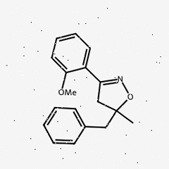 COc1ccccc1C1=NOC(C)(Cc2ccccc2)C1